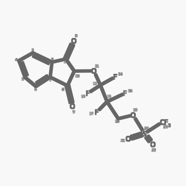 O=C1c2ccccc2C(=O)C1OC(F)(F)C(F)(F)COS(=O)(=O)C(F)(F)F